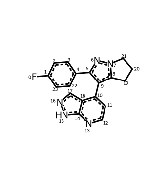 Fc1ccc(-c2nn3c(c2-c2ccnc4[nH]ncc24)CCC3)cc1